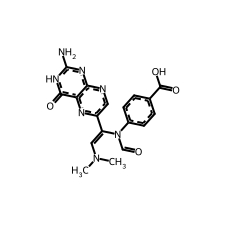 CN(C)C=C(c1cnc2nc(N)[nH]c(=O)c2n1)N(C=O)c1ccc(C(=O)O)cc1